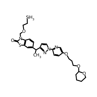 CC(c1ccc2c(c1)sc(=O)n2COCC[SiH3])c1ccn(-c2ccc(OCCCOC3CCCCO3)cn2)n1